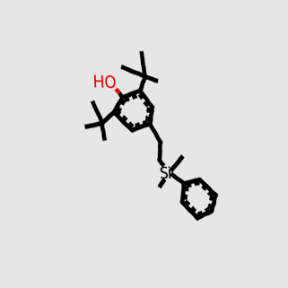 CC(C)(C)c1cc(CC[Si](C)(C)c2ccccc2)cc(C(C)(C)C)c1O